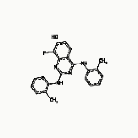 Cc1ccccc1Nc1nc(Nc2ccccc2C)c2cccc(F)c2n1.Cl